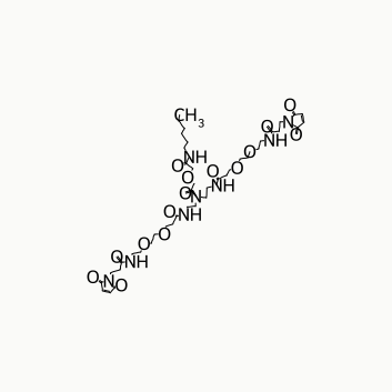 CCCCCCNC(=O)COCC(=O)N(CCNC(=O)CCOCCOCCNC(=O)CCN1C(=O)C=CC1=O)CCNC(=O)CCOCCOCCNC(=O)CCN1C(=O)C=CC1=O